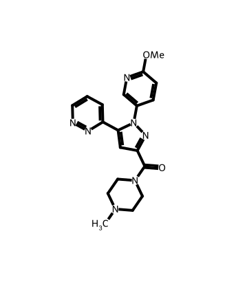 COc1ccc(-n2nc(C(=O)N3CCN(C)CC3)cc2-c2cccnn2)cn1